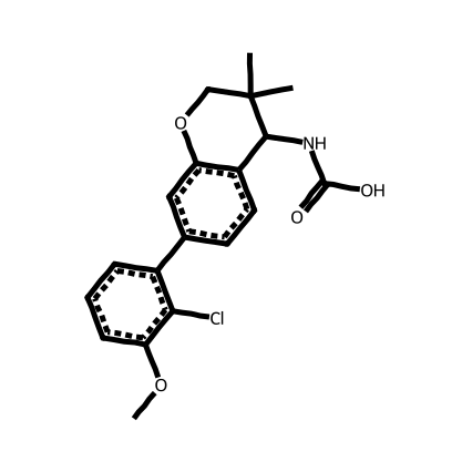 COc1cccc(-c2ccc3c(c2)OCC(C)(C)C3NC(=O)O)c1Cl